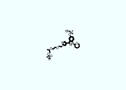 CC(COS(C)(=O)=O)OCCOCCn1cc(-c2nn(C3CCCCO3)c3ccc(O[Si](C)(C)C(C)(C)C)cc23)cn1